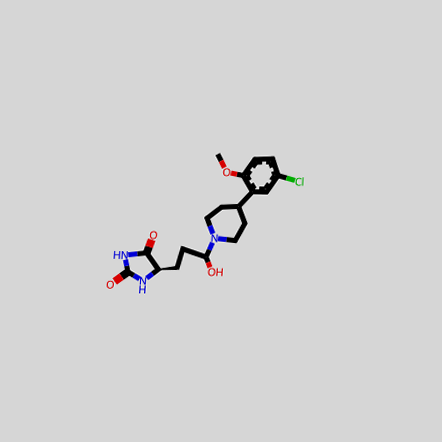 COc1ccc(Cl)cc1C1CCN(C(O)CC[C@H]2NC(=O)NC2=O)CC1